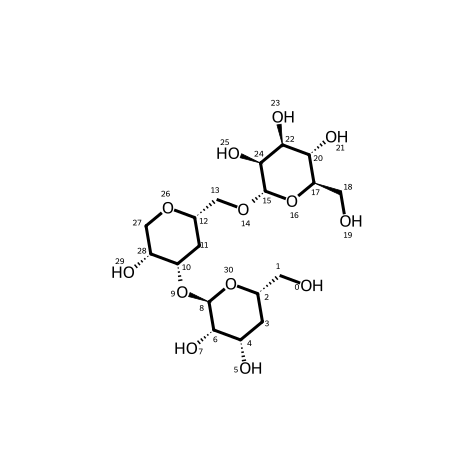 OC[C@@H]1C[C@H](O)[C@H](O)[C@@H](O[C@H]2C[C@@H](CO[C@H]3O[C@H](CO)[C@@H](O)[C@H](O)[C@@H]3O)OC[C@H]2O)O1